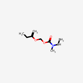 BBN(C)C(=O)OCOC(=C)CC